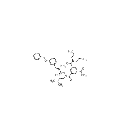 CCCN(CCC)C(=O)c1cc(C(N)=O)cc(C(=O)N(CCC(C)C)C[C@@H](O)[C@@H](N)Cc2cccc(OCc3ccccc3)c2)c1